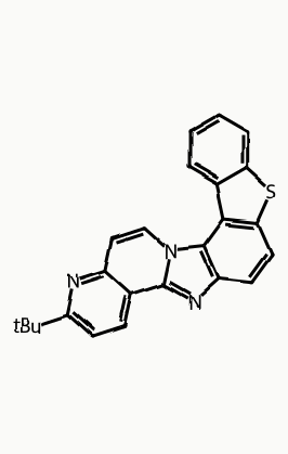 CC(C)(C)c1ccc2c(ccn3c2nc2ccc4sc5ccccc5c4c23)n1